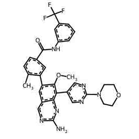 COc1c(-c2cc(C(=O)Nc3cccc(C(F)(F)F)c3)ccc2C)cc2cnc(N)nc2c1-c1cnc(N2CCOCC2)nc1